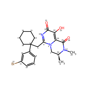 C[C@H]1Cn2c(CC3(c4cccc(Br)c4)CCCCC3)nc(=O)c(O)c2C(=O)N1C